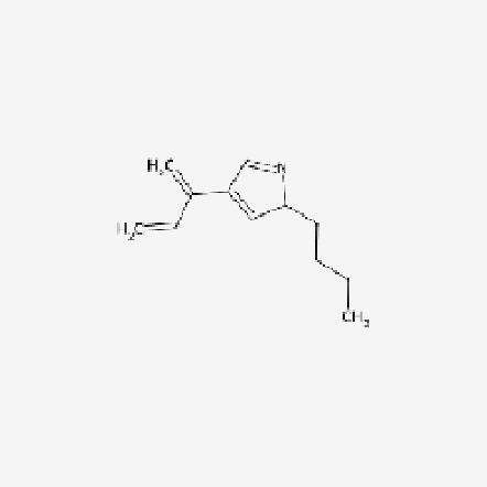 C=CC(=C)C1=CC(CCCC)N=C1